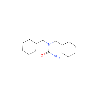 NC(=O)N(CC1CCCCC1)CC1CCCCC1